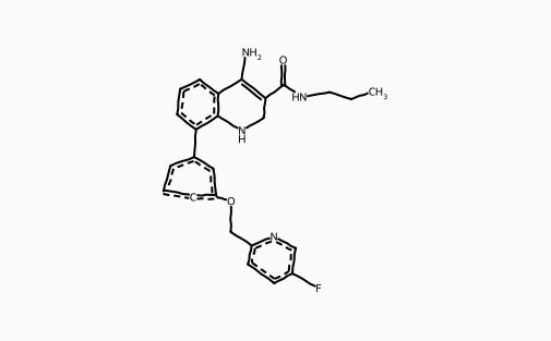 CCCNC(=O)C1=C(N)c2cccc(-c3cccc(OCc4ccc(F)cn4)c3)c2NC1